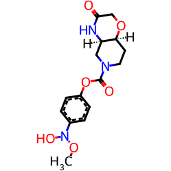 CON(O)c1ccc(OC(=O)N2CC[C@@H]3OCC(=O)N[C@@H]3C2)cc1